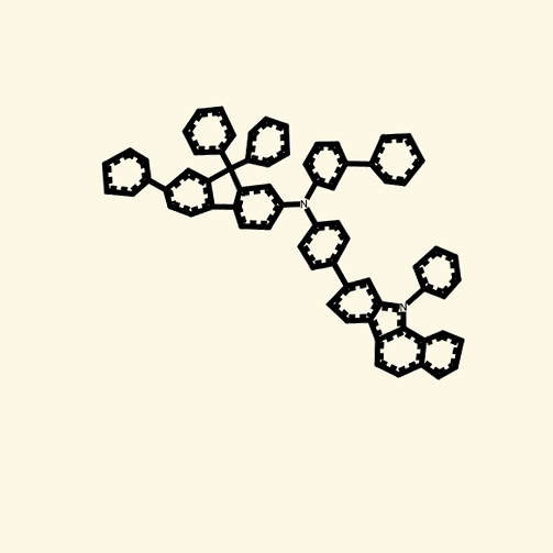 c1ccc(-c2cccc(N(c3ccc(-c4ccc5c6ccc7ccccc7c6n(-c6ccccc6)c5c4)cc3)c3ccc4c(c3)C(c3ccccc3)(c3ccccc3)c3cc(-c5ccccc5)ccc3-4)c2)cc1